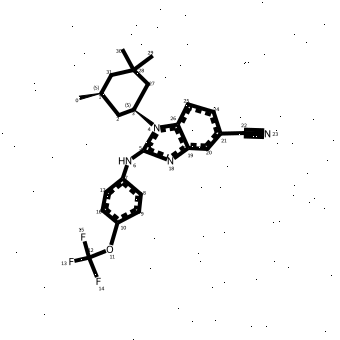 C[C@@H]1C[C@H](n2c(Nc3ccc(OC(F)(F)F)cc3)nc3cc(C#N)ccc32)CC(C)(C)C1